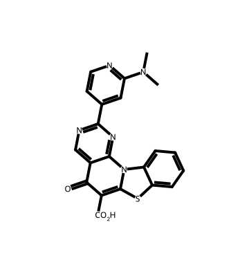 CN(C)c1cc(-c2ncc3c(=O)c(C(=O)O)c4sc5ccccc5n4c3n2)ccn1